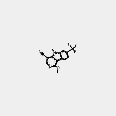 COc1ncc(C#N)c2c1c1ccc(C(F)(F)F)cc1n2C